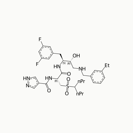 CCCC(CCC)S(=O)(=O)C[C@H](NC(=O)c1cn[nH]c1)C(=O)N[C@@H](Cc1cc(F)cc(F)c1)[C@H](O)CNCc1cccc(CC)c1